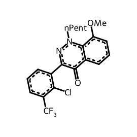 CCCCCn1nc(-c2cccc(C(F)(F)F)c2Cl)c(=O)c2cccc(OC)c21